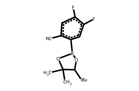 CCC(C)C1OB(c2cc(F)c(F)cc2C#N)OC1(C)C